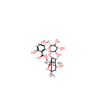 C[C@@]12C[C@@]3(O)O[C@@H](O1)[C@]1(COC(=O)c4ccccc4O)[C@H]3C[C@@]12O[C@@H]1O[C@H](CO)[C@@H](O)[C@H](O)[C@H]1O